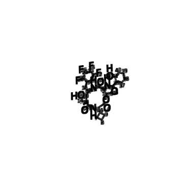 C[C@H]1OC(=O)C(C2CCC2)NC(=O)[C@H](C)[C@H](O)[C@H](Cc2cc(F)c(F)c(F)c2F)NC(=O)[C@H]1NC(=O)c1ccccc1O